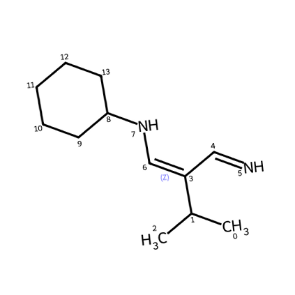 CC(C)/C(C=N)=C/NC1CCCCC1